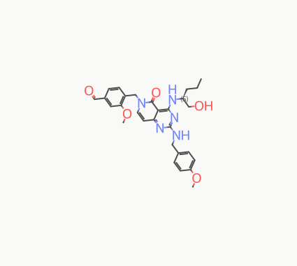 CCC[C@@H](CO)Nc1nc(NCc2ccc(OC)cc2)nc2ccn(Cc3ccc(C=O)cc3OC)c(=O)c12